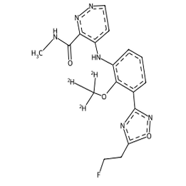 [2H]C([2H])([2H])Oc1c(Nc2ccnnc2C(=O)NC)cccc1-c1noc(CCF)n1